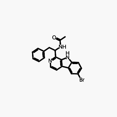 CC(=O)NC(Cc1ccccc1)c1nccc2c1[nH]c1ccc(Br)cc12